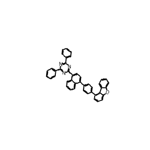 c1ccc(-c2nc(-c3ccccc3)nc(-c3ccc(-c4ccc(-c5cccc6oc7ccccc7c56)cc4)c4ccccc34)n2)cc1